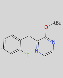 CC(C)(C)Oc1nccnc1Cc1cc[c]cc1F